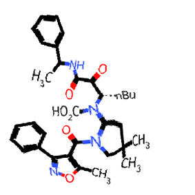 CCCC[C@@H](C(=O)C(=O)NC(C)c1ccccc1)N(C(=O)O)C1CC(C)(C)CN1C(=O)c1c(-c2ccccc2)noc1C